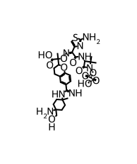 CC1(NC(=N)c2ccc3c(c2)CCC(C(C)(ON=C(C(=O)NC2C(=O)N(OS(=O)(=O)O)C2(C)C)c2csc(N)n2)C(=O)O)O3)CCC(N)(CO)CC1